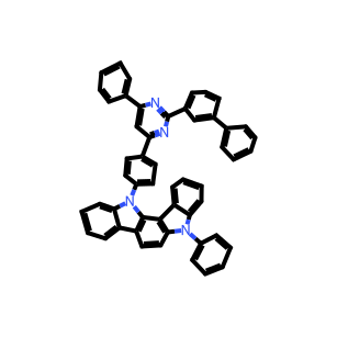 c1ccc(-c2cccc(-c3nc(-c4ccccc4)cc(-c4ccc(-n5c6ccccc6c6ccc7c(c8ccccc8n7-c7ccccc7)c65)cc4)n3)c2)cc1